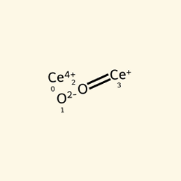 [Ce+4].[O-2].[O]=[Ce+]